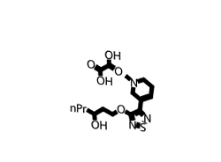 CCCC(O)CCOc1nsnc1C1=CCCN(C)C1.O=C(O)C(=O)O